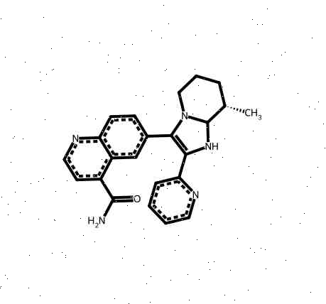 C[C@H]1CCCN2C(c3ccc4nccc(C(N)=O)c4c3)=C(c3ccccn3)NC12